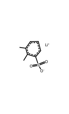 Cc1cccc(S(=O)(=O)[O-])c1C.[Li+]